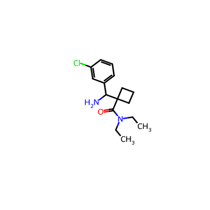 CCN(CC)C(=O)C1(C(N)c2cccc(Cl)c2)CCC1